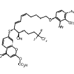 CCCc1c(OCCCC/C=C\C=C\[C@H](Sc2ccc3c(=O)cc(OC(=O)O)oc3c2)[C@H](O)CCCC(F)(F)C(F)(F)F)ccc(C(C)=O)c1O